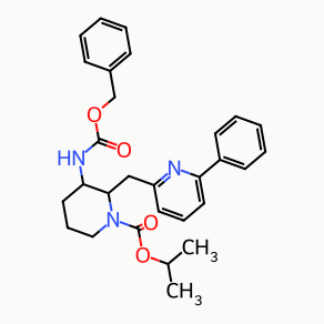 CC(C)OC(=O)N1CCCC(NC(=O)OCc2ccccc2)C1Cc1cccc(-c2ccccc2)n1